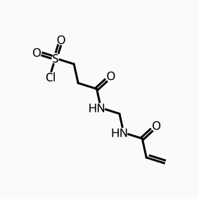 C=CC(=O)NCNC(=O)CCS(=O)(=O)Cl